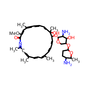 COC1=CC(C)=CC=CC=CC(C)(O)C(OC2OCC(OC3CCC(N)C(C)O3)C(O)C2N)C=CC=CC(C)=CC=CC(C)=CCC(C)NC1=O